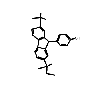 CCC(C)(C)c1ccc2c(c1)C(c1ccc(O)cc1)c1cc(C(C)(C)C)ccc1-2